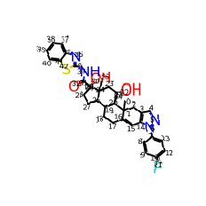 CC12Cc3cnn(-c4ccc(F)cc4)c3C=C1CCC1C2[C@@H](O)CC2(C)C1CC[C@]2(O)C(=O)Nc1nc2ccccc2s1